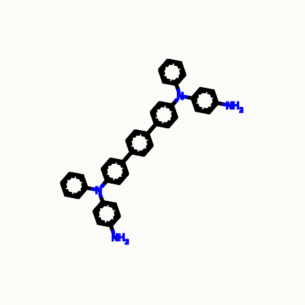 Nc1ccc(N(c2ccccc2)c2ccc(-c3ccc(-c4ccc(N(c5ccccc5)c5ccc(N)cc5)cc4)cc3)cc2)cc1